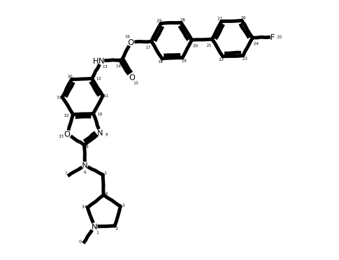 CN1CCC(CN(C)c2nc3cc(NC(=O)Oc4ccc(-c5ccc(F)cc5)cc4)ccc3o2)C1